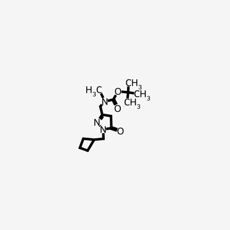 CN(CC1=NN(CC2CCC2)C(=O)C1)C(=O)OC(C)(C)C